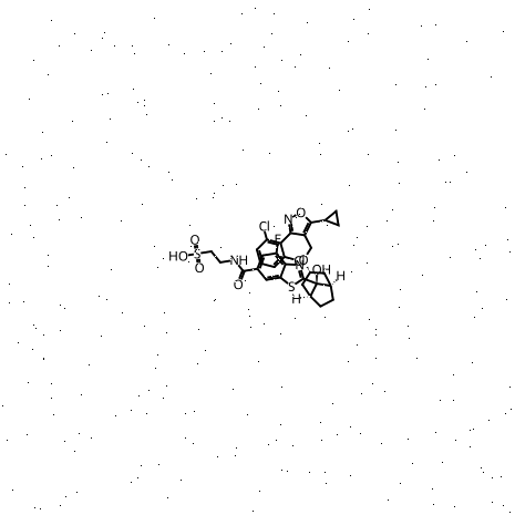 O=C(NCCS(=O)(=O)O)c1cc(F)c2nc([C@]3(O)[C@@H]4CC[C@H]3C[C@H](OCc3c(-c5c(Cl)cccc5Cl)noc3C3CC3)C4)sc2c1